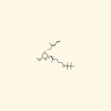 C=C/C=C(\C)CC[C@H]1CC(OC)O[C@@H]1/C=C(\C)CCCO[Si](C)(C)C(C)(C)C